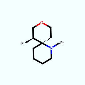 CC(C)[C@H]1COCC[C@]12CCCCN2C(C)C